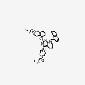 C=CC(=O)N1CCN(c2nc(Oc3cccc4c3CCN(C)C4)nc3c2CCCN3Cc2cccc3c2C2CC2C3)CC1